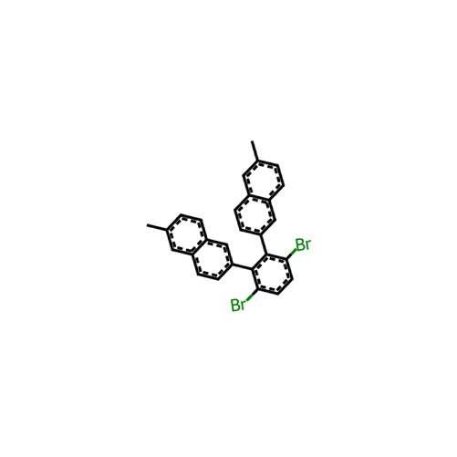 Cc1ccc2cc(-c3c(Br)ccc(Br)c3-c3ccc4cc(C)ccc4c3)ccc2c1